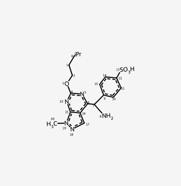 CC(C)CCOc1nc(C(N)c2ccc(S(=O)(=O)O)cc2)c2cnn(C)c2n1